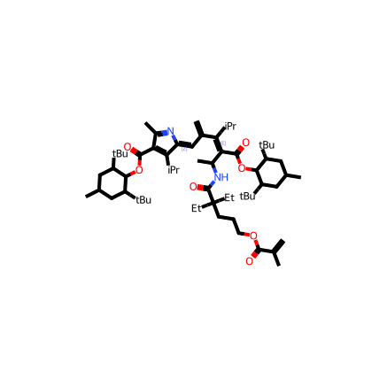 C=C(C)C(=O)OCCCC(CC)(CC)C(=O)NC(C)/C(C(=O)OC1C(C(C)(C)C)CC(C)CC1C(C)(C)C)=C(\C(=C)/C=C1\N=C(C)C(C(=O)OC2C(C(C)(C)C)CC(C)CC2C(C)(C)C)=C1C(C)C)C(C)C